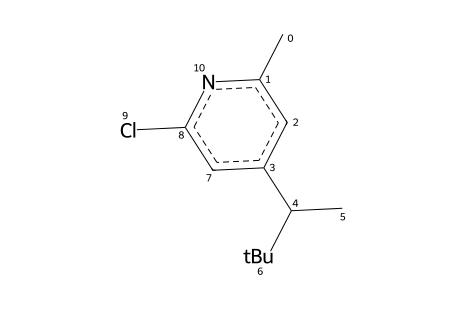 Cc1cc(C(C)C(C)(C)C)cc(Cl)n1